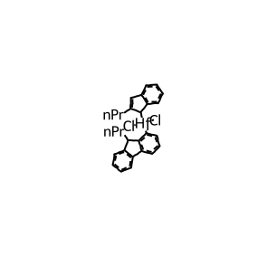 CCCC1=Cc2ccccc2[CH]1[Hf]([Cl])([Cl])[c]1cccc2c1C(CCC)c1ccccc1-2